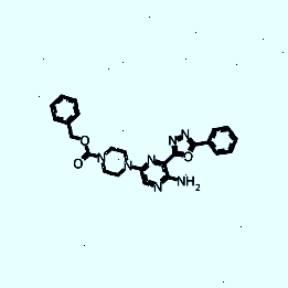 Nc1ncc(N2CCN(C(=O)OCc3ccccc3)CC2)nc1-c1nnc(-c2ccccc2)o1